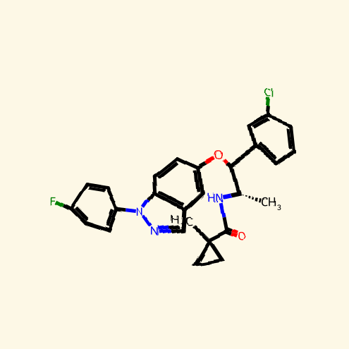 C[C@H](NC(=O)C1(C)CC1)C(Oc1ccc2c(cnn2-c2ccc(F)cc2)c1)c1cccc(Cl)c1